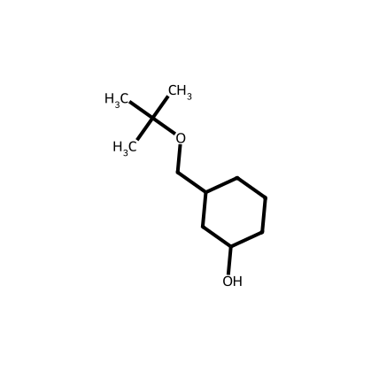 CC(C)(C)OCC1CCCC(O)C1